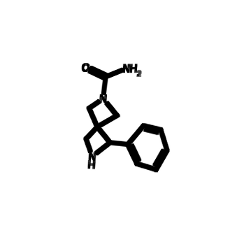 NC(=O)N1CC2(CNC2c2ccccc2)C1